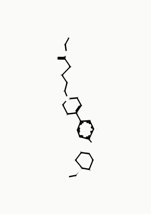 CCOC(=O)CCCCN1CC=C(c2ccc(O[C@H]3CC[C@H](CC)CC3)cc2)CC1